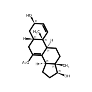 CC(=O)OC1=C2[C@H](CC[C@]3(C)[C@@H](O)CC[C@@H]23)[C@@]2(C)C=C[C@H](O)C[C@H]2C1